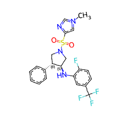 Cn1cnc(S(=O)(=O)N2C[C@@H](Nc3cc(C(F)(F)F)ccc3F)[C@H](c3ccccc3)C2)c1